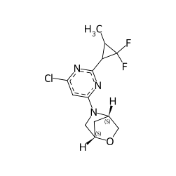 CC1C(c2nc(Cl)cc(N3C[C@@H]4C[C@H]3CO4)n2)C1(F)F